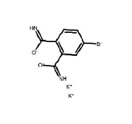 N=C([O-])c1ccc(Br)cc1C(=N)[O-].[K+].[K+]